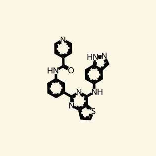 O=C(Nc1cccc(-c2nc(Nc3ccc4[nH]ncc4c3)c3sccc3n2)c1)c1ccncc1